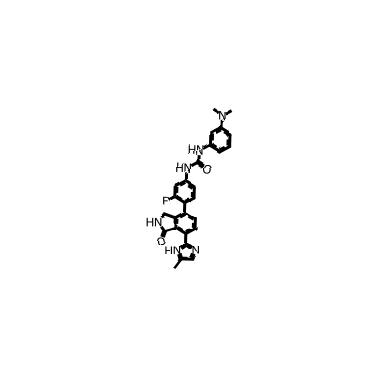 Cc1cnc(-c2ccc(-c3ccc(NC(=O)Nc4cccc(N(C)C)c4)cc3F)c3c2C(=O)NC3)[nH]1